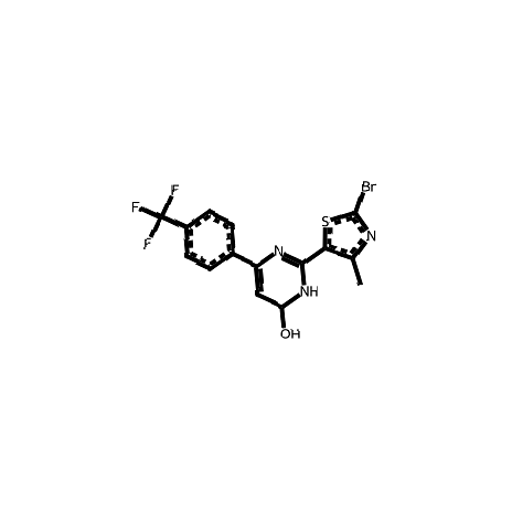 Cc1nc(Br)sc1C1=NC(c2ccc(C(F)(F)F)cc2)=CC(O)N1